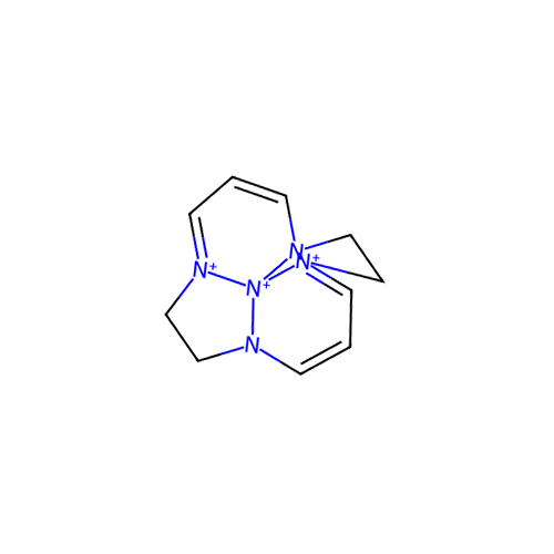 C1=CN2CC[N+]3=CC=CN4CC[N+](=C1)[N+]423